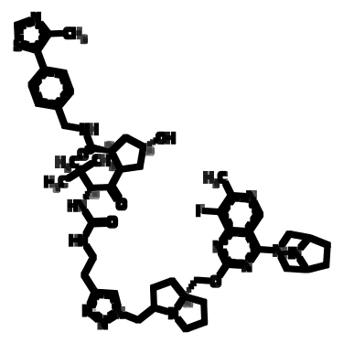 Cc1ncsc1-c1ccc(CNC(=O)[C@H]2C[C@H](O)CC2C(=O)[C@H](NC(=O)NCCc2cn(CC3CC[C@@]4(COc5nc(N6CC7CCC(C6)N7)c6cnc(C)c(F)c6n5)CCCN34)nn2)C(C)(C)C)cc1